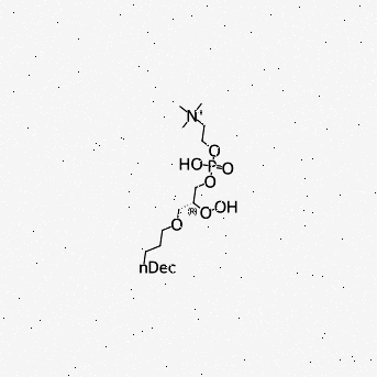 CCCCCCCCCCCCCOC[C@H](COP(=O)(O)OCC[N+](C)(C)C)OO